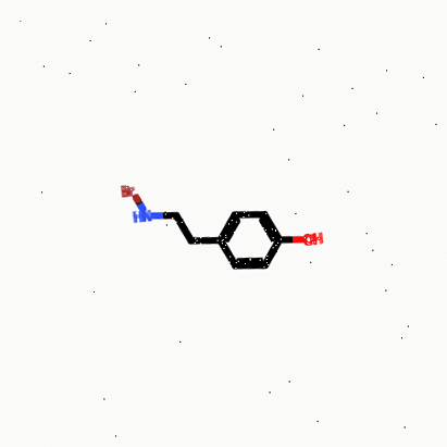 Oc1ccc(CCNBr)cc1